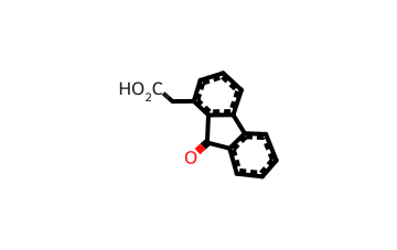 O=C(O)Cc1cccc2c1C(=O)c1ccccc1-2